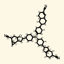 N#CC1=CC2CCC(C3CC=C(N(C4CCC(C5CC6C(CC(C#N)C7CC76)O5)CC4)C4CCC(C5CC6=C(CCC(C#N)C6)S5)CC4)CC3)CC2CC1